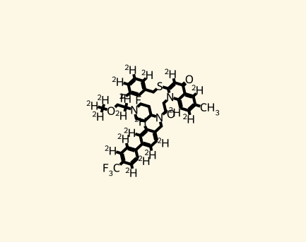 [2H]c1c([2H])c(F)c(F)c(CSc2c([2H])c(=O)c3c([2H])c(C)c([2H])c([2H])c3n2CC(=O)N(Cc2c([2H])c([2H])c(-c3c([2H])c([2H])c(C(F)(F)F)c([2H])c3[2H])c([2H])c2[2H])C2CCN(C([2H])([2H])COC([2H])([2H])[2H])CC2)c1[2H]